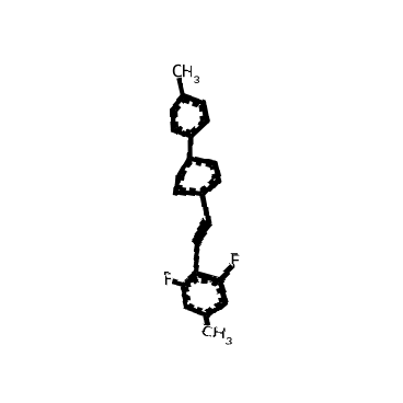 Cc1ccc(-c2ccc(C=Cc3c(F)cc(C)cc3F)cc2)cc1